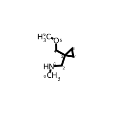 CNCC1(COC)CC1